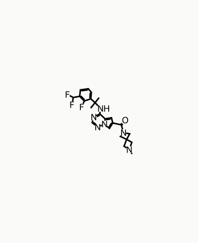 CN1CC2(C1)CN(C(=O)c1cc3c(NC(C)(C)c4cccc(C(F)F)c4F)ncnn3c1)C2